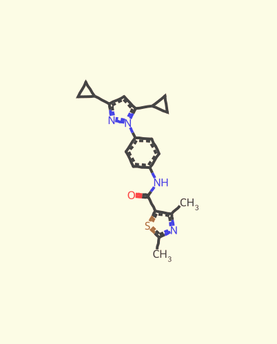 Cc1nc(C)c(C(=O)Nc2ccc(-n3nc(C4CC4)cc3C3CC3)cc2)s1